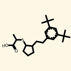 CC(SC1CCCC1CCc1cc(C(C)(C)C)cc(C(C)(C)C)c1)C(=O)O